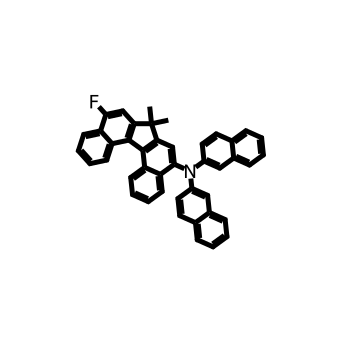 CC1(C)c2cc(F)c3ccccc3c2-c2c1cc(N(c1ccc3ccccc3c1)c1ccc3ccccc3c1)c1ccccc21